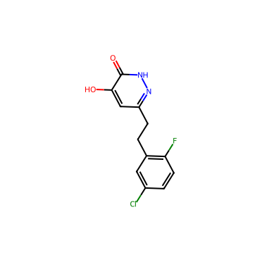 O=c1[nH]nc(CCc2cc(Cl)ccc2F)cc1O